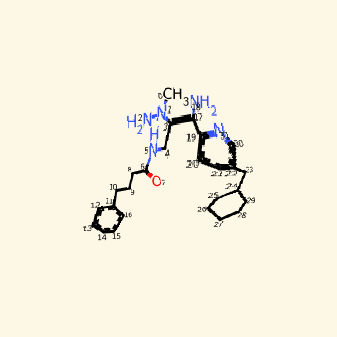 CN(N)/C(CNC(=O)CCCc1ccccc1)=C(\N)c1ccc(CC2CCCCC2)cn1